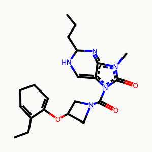 CCCC1N=c2c(n(C(=O)N3CC(OC4=CCCC=C4CC)C3)c(=O)n2C)=CN1